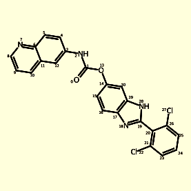 O=C(Nc1ccc2ncccc2c1)Oc1ccc2nc(-c3c(Cl)cccc3Cl)[nH]c2c1